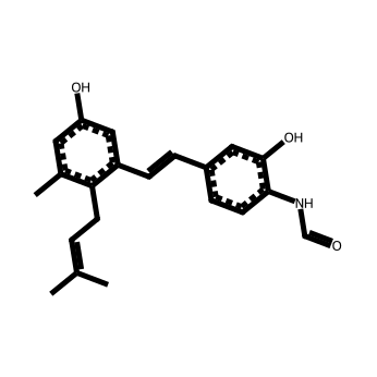 CC(C)=CCc1c(C)cc(O)cc1/C=C/c1ccc(NC=O)c(O)c1